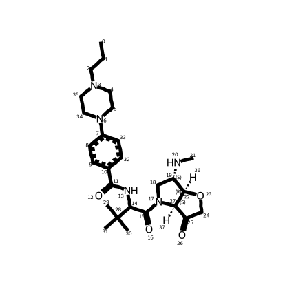 CCCN1CCN(c2ccc(C(=O)NC(C(=O)N3C[C@H](NC)[C@H]4OCC(=O)[C@H]43)C(C)(C)C)cc2)CC1